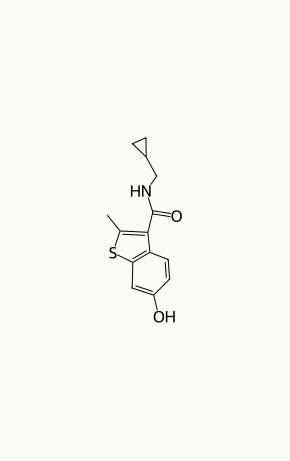 Cc1sc2cc(O)ccc2c1C(=O)NCC1CC1